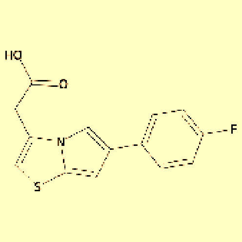 O=C(O)Cc1csc2cc(-c3ccc(F)cc3)cn12